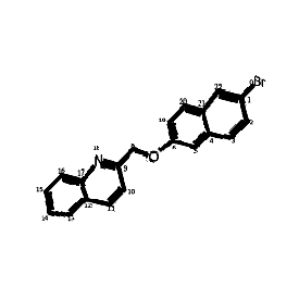 Brc1ccc2cc(OCc3ccc4ccccc4n3)ccc2c1